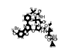 C=C[C@@H]1C[C@]1(NC(=O)[C@@H]1C[C@@H](Oc2cc(-c3ccccc3)nc3c2oc2ccc(OC)c(Br)c23)CN1C(=O)[C@@H](NC(=O)OC(C)(C)C)C(C)(C)C)C(=O)NS(=O)(=O)C1CC1